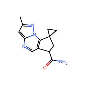 Cc1cc2ncc3c(n2n1)C1(CC1)CC3C(N)=O